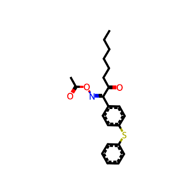 CCCCCCC(=O)C(=NOC(C)=O)c1ccc(Sc2ccccc2)cc1